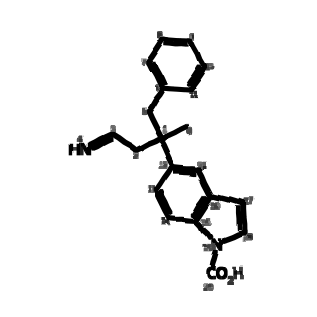 CC(CC=N)(Cc1ccccc1)c1ccc2c(ccn2C(=O)O)c1